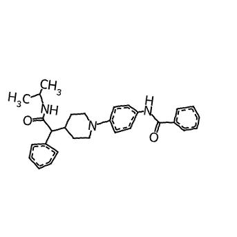 CC(C)NC(=O)C(c1ccccc1)C1CCN(c2ccc(NC(=O)c3ccccc3)cc2)CC1